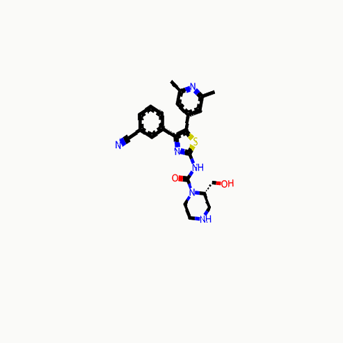 Cc1cc(-c2sc(NC(=O)N3CCNC[C@H]3CO)nc2-c2cccc(C#N)c2)cc(C)n1